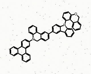 c1ccc2c(c1)COc1cccc(-n3c4ccccc4c4cc(-c5ccc6c(c5)-c5ccccc5N(c5ccc7c8ccccc8c8ccccc8c7c5)C6)ccc43)c1-2